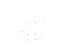 CC1CN(Cc2ccc(C(=O)NO)cc2)CCN1C(=O)c1cccc(-c2ccncc2)c1